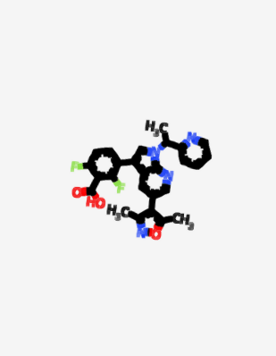 Cc1noc(C)c1-c1cnc2c(c1)c(-c1ccc(F)c(C(=O)O)c1F)cn2C(C)c1ccccn1